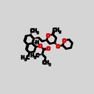 C=C1C[C@H](OC2CCCCO2)C[C@@H](CC[C@@H]2[C@@H]3C(=C[C@H](C)CC3OC(=O)[C@@H](C)CC)C=C[C@@H]2C)O1